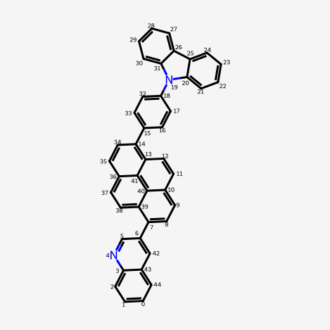 c1ccc2ncc(-c3ccc4ccc5c(-c6ccc(-n7c8ccccc8c8ccccc87)cc6)ccc6ccc3c4c65)cc2c1